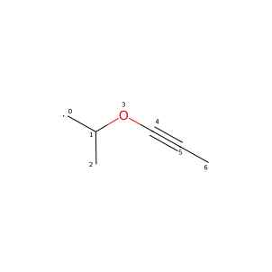 [CH2]C(C)OC#CC